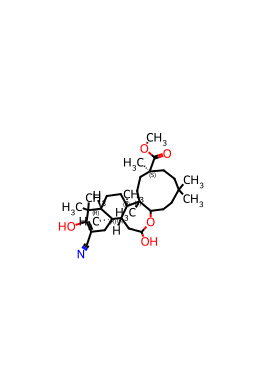 COC(=O)[C@@]1(C)CCC(C)(C)CCC2OC(O)C[C@@H]3[C@@]4(C)CC(C#N)=C(O)C(C)(C)[C@@H]4CC[C@@]3(C)[C@]2(C)CC1